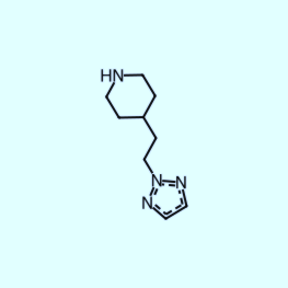 c1cnn(CCC2CCNCC2)n1